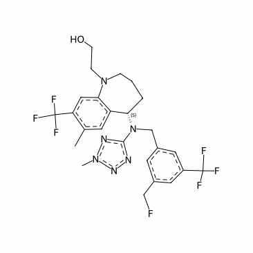 Cc1cc2c(cc1C(F)(F)F)N(CCO)CCC[C@@H]2N(Cc1cc(CF)cc(C(F)(F)F)c1)c1nnn(C)n1